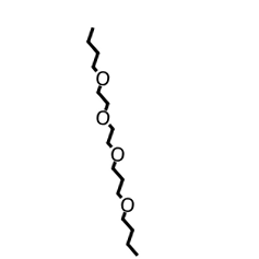 CCCCOCCCOCCOCCOCCCC